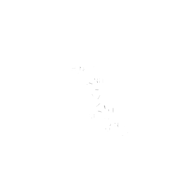 NC1CCCC(NC(=O)c2ccc(-c3cc(Cl)c(CC4CCN(C5CCCCC5)C4=O)c(Cl)c3)cc2)C1